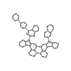 c1ccc(-c2ccc(-c3nc(-n4c5ccccc5c5c6cccc7c8cccc9c8c(cc8c9c9ccccc9n8-c8ccc9ccccc9c8)c(cc54)c76)nc4ccccc34)cc2)cc1